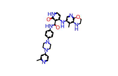 Cc1cc(N2CCN(c3ccc(NC(=O)c4c(Nc5cnc6c(c5C)NCCO6)cc[nH]c4=O)cc3)CC2)ccn1